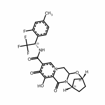 Cc1ccc([C@H](NC(=O)c2cn3c(c(O)c2=O)C(=O)N2C(C3)O[C@@H]3CC[C@H]2C3)C(F)(F)F)c(F)c1